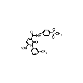 CCCCc1ccc(C(=O)NCc2ccc(S(C)(=O)=O)cc2)c(=O)n1-c1cccc(C(F)(F)F)c1